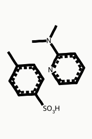 CN(C)c1ccccn1.Cc1ccc(S(=O)(=O)O)cc1